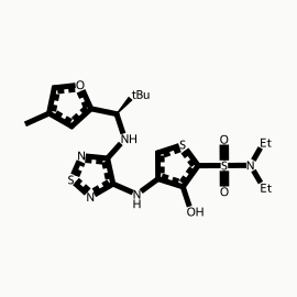 CCN(CC)S(=O)(=O)c1scc(Nc2nsnc2N[C@@H](c2cc(C)co2)C(C)(C)C)c1O